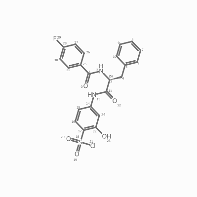 O=C(N[C@@H](Cc1ccccc1)C(=O)Nc1ccc(S(=O)(=O)Cl)c(O)c1)c1ccc(F)cc1